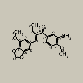 CC/C(=C\c1cc(OC)c2c(c1)OCO2)C(=O)c1ccc(OC)c(N)c1